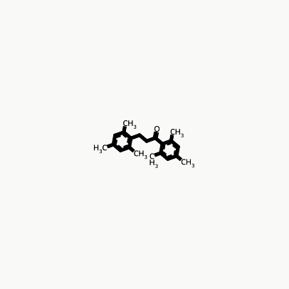 Cc1cc(C)c(CCC(=O)c2c(C)cc(C)cc2C)c(C)c1